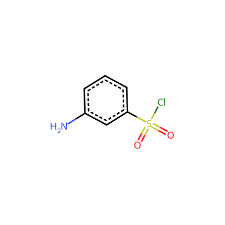 Nc1cccc(S(=O)(=O)Cl)c1